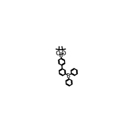 CC1(C)OB(c2ccc(-c3cccc(B(c4ccccc4)c4ccccc4)c3)cc2)OC1(C)C